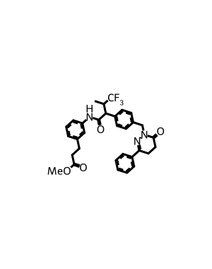 COC(=O)CCc1cccc(NC(=O)C(c2ccc(CN3N=C(c4ccccc4)CCC3=O)cc2)C(C)C(F)(F)F)c1